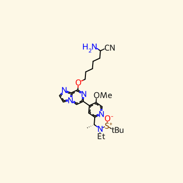 CCN([C@H](C)c1cc(-c2cn3ccnc3c(OCCCCCC(N)C#N)n2)c(OC)cn1)[S+]([O-])C(C)(C)C